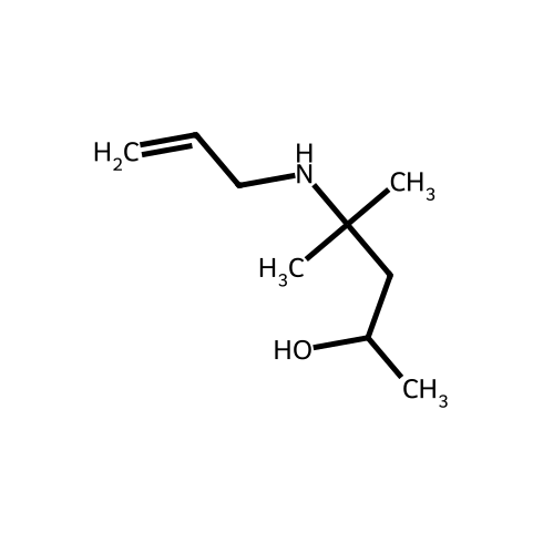 C=CCNC(C)(C)CC(C)O